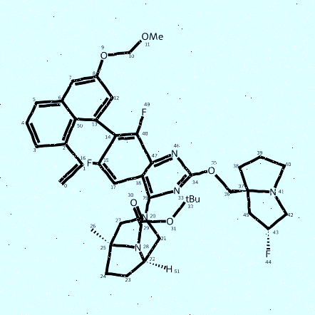 C=Cc1cccc2cc(OCOC)cc(-c3c(F)cc4c(N5C[C@H]6CC[C@@](C)(C5)N6C(=O)OC(C)(C)C)nc(OC[C@@]56CCCN5C[C@H](F)C6)nc4c3F)c12